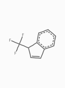 FC(F)(F)[C]1C=Cc2ccccc21